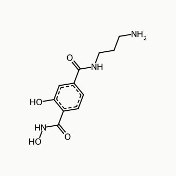 NCCCNC(=O)c1ccc(C(=O)NO)c(O)c1